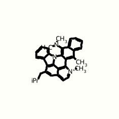 Cc1c2ccccc2c(N(C)C)c2c1c1c3c(cc[n+]1C)cc(CC(C)C)c1c4ccccc4n2c13